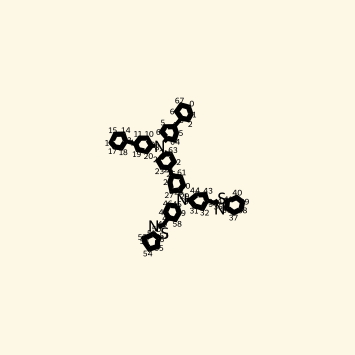 c1ccc(-c2ccc(N(c3ccc(-c4ccccc4)cc3)c3ccc(-c4ccc(N(c5ccc(-c6nc7ccccc7s6)cc5)c5ccc(-c6nc7ccccc7s6)cc5)cc4)cc3)cc2)cc1